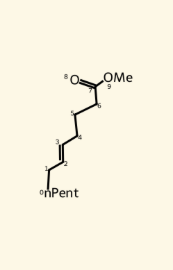 CCCCCCC=CCCCC(=O)OC